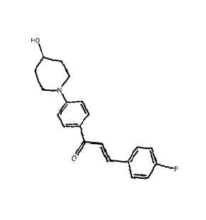 O=C(C=Cc1ccc(F)cc1)c1ccc(N2CCC(O)CC2)cc1